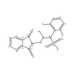 Cc1cccc(C)c1N(C(C)CN1C(=O)c2ccccc2C1=O)S(C)(=O)=O